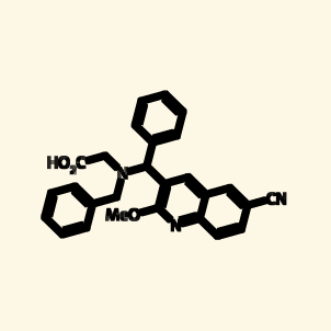 COc1nc2ccc(C#N)cc2cc1C(c1ccccc1)N(CC(=O)O)Cc1ccccc1